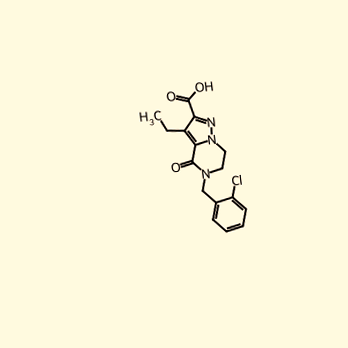 CCc1c(C(=O)O)nn2c1C(=O)N(Cc1ccccc1Cl)CC2